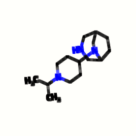 CC(C)N1CCC(N2CC3CCC2CNC3)CC1